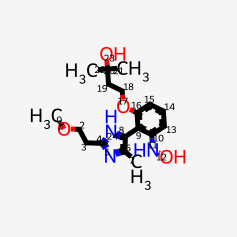 COCCc1nc(C)c(-c2c(NO)cccc2OCCC(C)(C)O)[nH]1